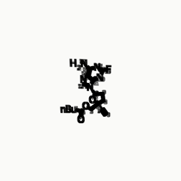 C#C[C@@]1(COC(=O)CCCC)CC[C@H](n2cnc3c(N)nc(F)nc32)O1